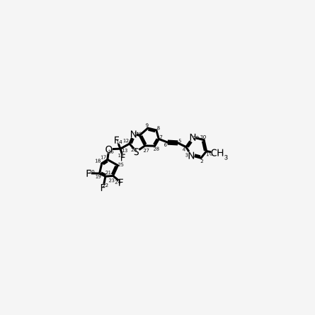 Cc1cnc(C#Cc2ccc3nc(C(F)(F)Oc4cc(F)c(F)c(F)c4)sc3c2)nc1